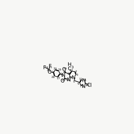 Cc1ccn(Cc2cnc(Cl)nc2)c2nc(=O)n(-c3ccc(OC(F)F)cc3)c(=O)c1-2